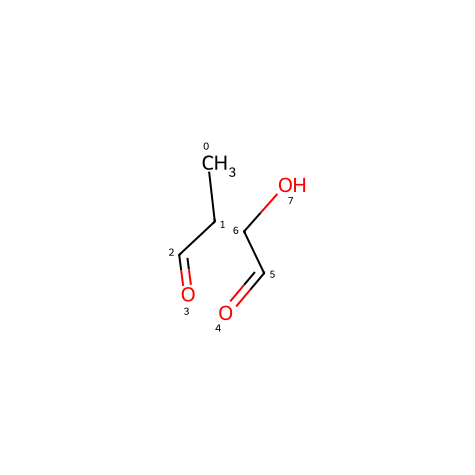 CCC=O.O=CCO